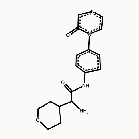 NC(C(=O)Nc1ccc(-n2ccncc2=O)cc1)C1CCOCC1